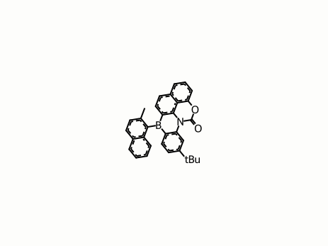 Cc1ccc2ccccc2c1B1c2ccc(C(C)(C)C)cc2N2C(=O)Oc3cccc4ccc1c2c34